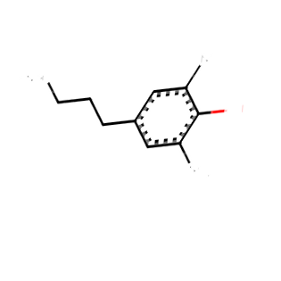 CCCCCCCCCCCCc1cc([N+](=O)[O-])c(O)c([N+](=O)[O-])c1